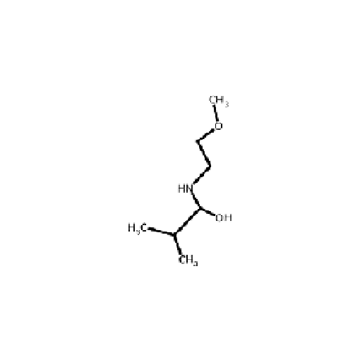 COCCNC(O)C(C)C